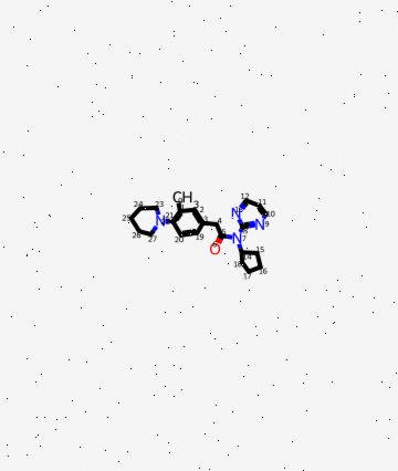 Cc1cc(CC(=O)N(c2ncccn2)C2CCCC2)ccc1N1CCCCC1